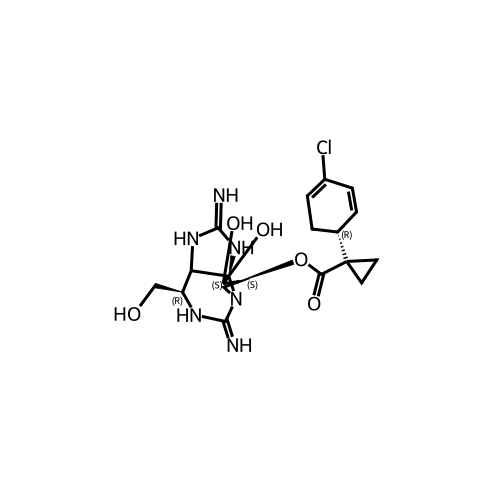 N=C1NC2[C@H](CO)NC(=N)N3C[C@H](OC(=O)C4([C@H]5C=CC(Cl)=CC5)CC4)C(O)(O)[C@]23N1